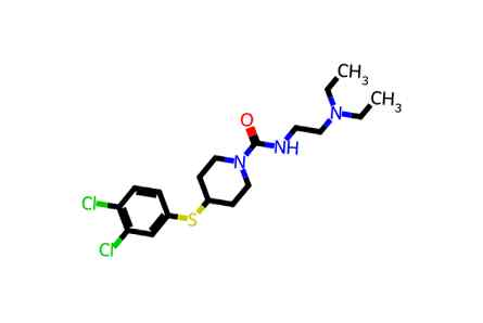 CCN(CC)CCNC(=O)N1CCC(Sc2ccc(Cl)c(Cl)c2)CC1